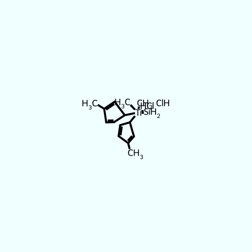 CC1=C[CH]([Ti]([CH3])([CH3])(=[SiH2])[CH]2C=CC(C)=C2)C=C1.Cl.Cl